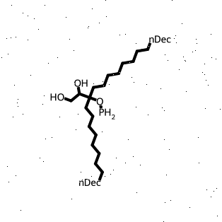 CCCCCCCCCCCCCCCCCCC(CCCCCCCCCCCCCCCCCC)(OP)C(O)CO